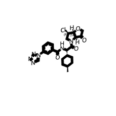 C[C@H]1CC[C@H](C(NC(=O)c2cccc(-n3cnnn3)c2)C(=O)N2C[C@@H](Cl)[C@H]3OCC(=O)[C@H]32)CC1